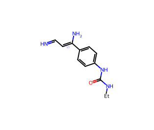 CCNC(=O)Nc1ccc(/C(N)=C/C=N)cc1